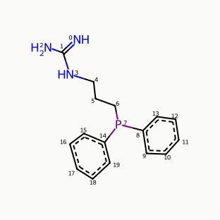 N=C(N)NCCCP(c1ccccc1)c1ccccc1